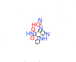 CN(C)CC(O)Cn1cc(C2=C(c3c[nH]c4ccccc34)C(=O)NC2=O)c2ccc(N(C)C)cc21